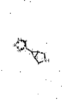 c1nnnn1C1C2CNCC21